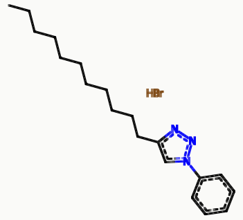 Br.CCCCCCCCCCCc1cn(-c2ccccc2)nn1